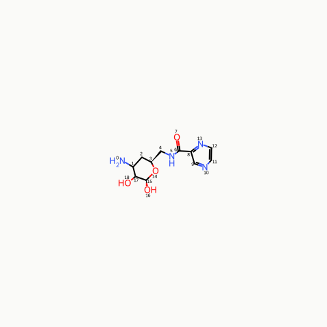 NC1C[C@@H](CNC(=O)c2cnccn2)O[C@@H](O)C1O